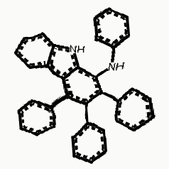 c1ccc(Nc2c(-c3ccccc3)c(-c3ccccc3)c(-c3ccccc3)c3c2[nH]c2ccccc23)cc1